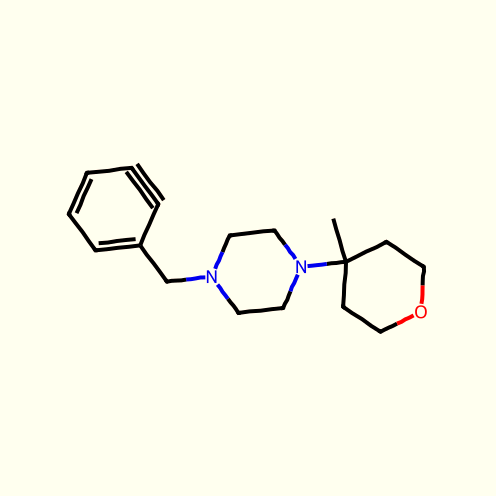 CC1(N2CCN(Cc3c#cccc3)CC2)CCOCC1